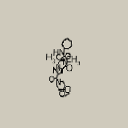 CN1C(=O)c2cc(C(=O)N3CCC4(CC3)OCCO4)nn2CC1(C)C(=O)NC1CCCCCC1